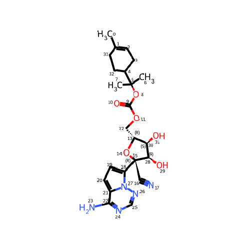 CC1=CCC(C(C)(C)OC(=O)OC[C@H]2O[C@@](C#N)(c3ccc4c(N)ncnn34)[C@H](O)[C@@H]2O)CC1